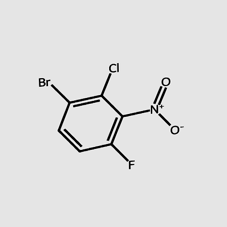 O=[N+]([O-])c1c(F)ccc(Br)c1Cl